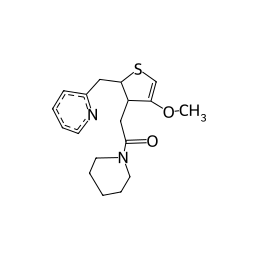 COC1=CSC(Cc2ccccn2)C1CC(=O)N1CCCCC1